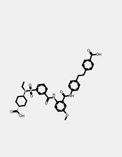 CCN([C@H]1CC[C@H](C(=O)O)CC1)S(=O)(=O)c1cccc(C(=O)Nc2ccc(OC)cc2C(=O)Nc2ccc(CCc3ccc(C(=O)O)cc3)cc2)c1